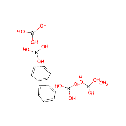 O.OB(O)O.OB(O)O.OB(O)O.OB(O)O.c1ccccc1.c1ccccc1